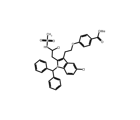 COC(=O)c1ccc(OCCc2c(CC(Cl)NS(C)(=O)=O)n(C(c3ccccc3)c3ccccc3)c3ccc(Cl)cc23)cc1